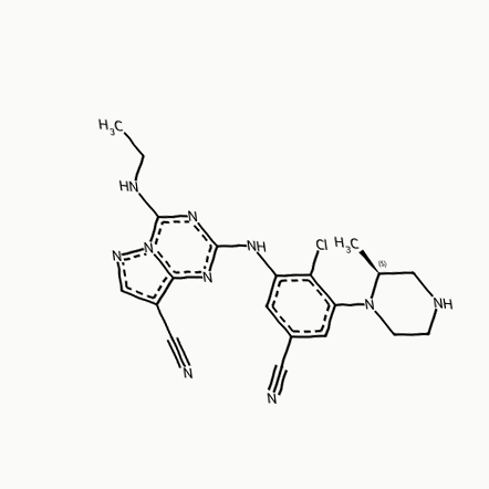 CCNc1nc(Nc2cc(C#N)cc(N3CCNC[C@@H]3C)c2Cl)nc2c(C#N)cnn12